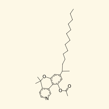 CCCCCCCCCCCCC(C)c1cc(OC(C)=O)c2c(c1)OC(C)(C)c1ccncc1-2